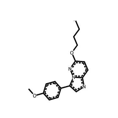 [CH2]CCCOc1ccc2ncc(-c3ccc(OC)cc3)n2n1